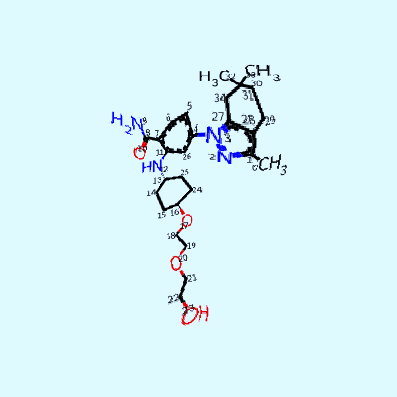 Cc1nn(-c2ccc(C(N)=O)c(N[C@H]3CC[C@H](OCCOCCO)CC3)c2)c2c1CCC(C)(C)C2